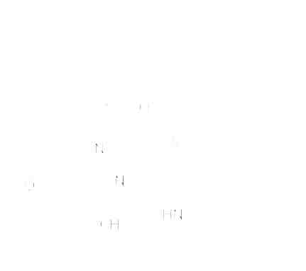 CN(C(=S)Nc1ccccc1)N1C(=O)c2ccccc2C1=O